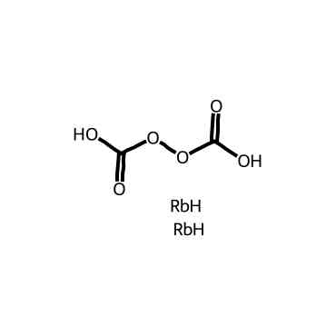 O=C(O)OOC(=O)O.[RbH].[RbH]